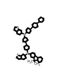 CC1(C)c2ccccc2-c2ccc(N(c3ccc(-c4ccc(N(c5ccc(-c6ccc(-c7ccccc7)cc6)cc5)c5ccc6ccsc6c5)cc4)cc3)c3ccc4ccsc4c3)cc21